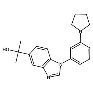 CC(C)(O)c1ccc2c(c1)ncn2-c1cccc(N2CCCC2)c1